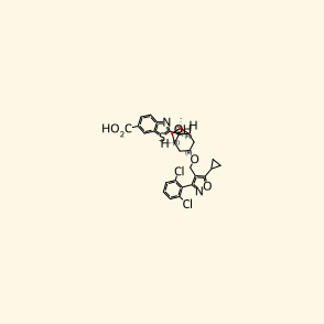 C[C@H]1C[C@@H]2C[C@@H](OCc3c(-c4c(Cl)cccc4Cl)noc3C3CC3)C[C@H]1[C@]2(O)c1nc2ccc(C(=O)O)cc2s1